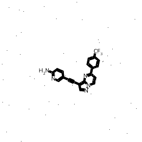 Nc1ccc(C#Cc2cnn3ccc(-c4ccc(C(F)(F)F)cc4)nc23)cn1